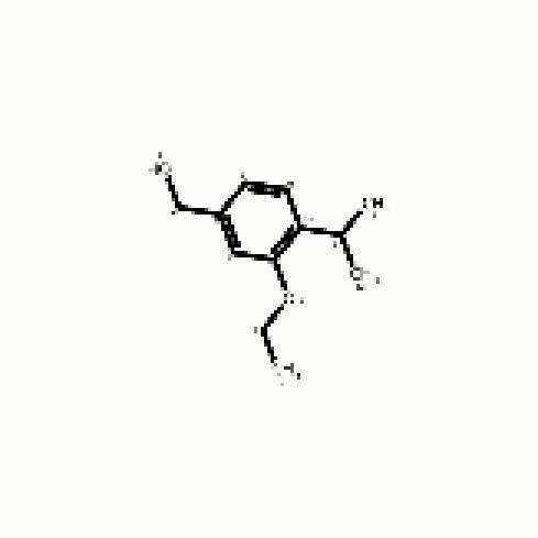 CCOc1cc(CO)ccc1C(C)C